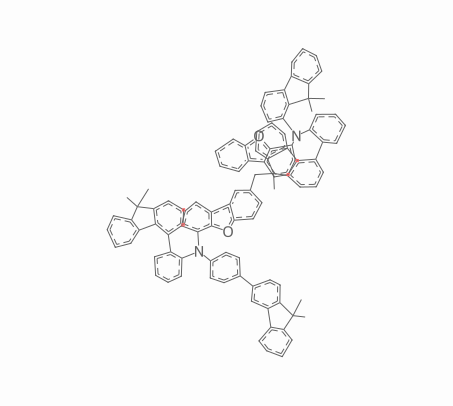 CC1(C)c2ccccc2-c2cc(-c3ccc(N(c4ccccc4-c4cccc5c4-c4ccccc4C5(C)C)c4cccc5c4oc4ccc(CC6(C)c7ccccc7-c7c(-c8ccccc8N(c8cccc9c8C(C)(C)c8ccccc8-9)c8cccc9c8oc8ccccc89)cccc76)cc45)cc3)ccc21